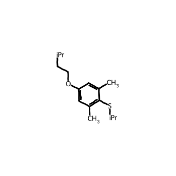 Cc1cc(OCCC(C)C)cc(C)c1SC(C)C